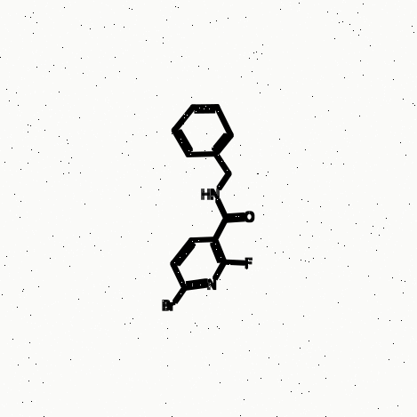 O=C(NCc1ccccc1)c1ccc(Br)nc1F